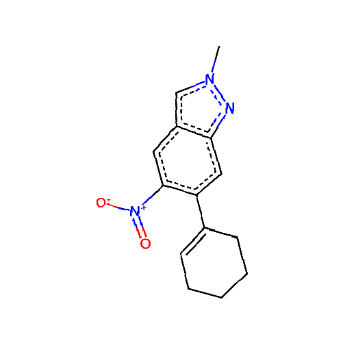 Cn1cc2cc([N+](=O)[O-])c(C3=CCCCC3)cc2n1